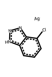 Clc1cccc2[nH]nnc12.[Ag]